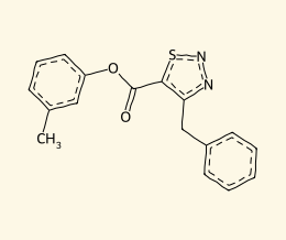 Cc1cccc(OC(=O)c2snnc2Cc2ccccc2)c1